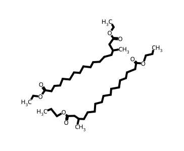 CCCOC(=O)CCCCCCCCCCCCCC(C)CC(=O)OCCC.CCOC(=O)CCCCCCCCCCCCCC(C)CC(=O)OCC